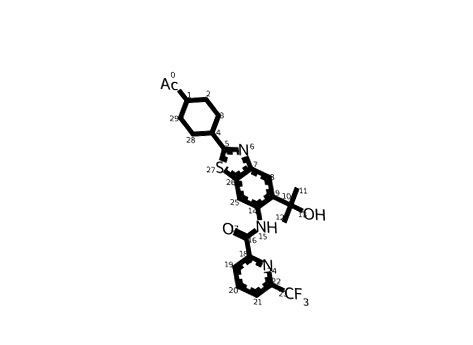 CC(=O)C1CCC(c2nc3cc(C(C)(C)O)c(NC(=O)c4cccc(C(F)(F)F)n4)cc3s2)CC1